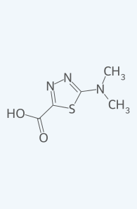 CN(C)c1nnc(C(=O)O)s1